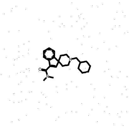 CN(C)C(=O)C1=CC2(CCN(CC3CCCCC3)CC2)c2ccccc21